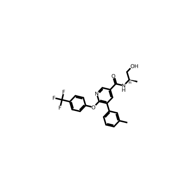 Cc1cccc(-c2cc(C(=O)N[C@H](C)CO)cnc2Oc2ccc(C(F)(F)F)cc2)c1